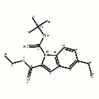 CCOC(=O)c1cc2cc(CBr)ccc2n1C(=O)OC(C)(C)C